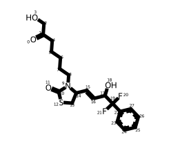 O=C(CO)CCCCCN1C(=O)SCC1C=CC(O)C(F)(F)c1ccccc1